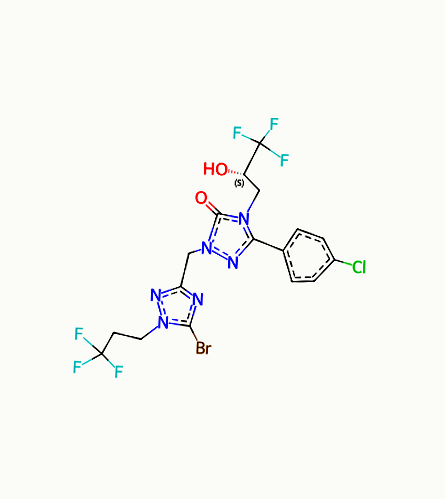 O=c1n(Cc2nc(Br)n(CCC(F)(F)F)n2)nc(-c2ccc(Cl)cc2)n1C[C@H](O)C(F)(F)F